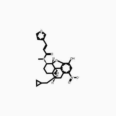 CN(C(=O)/C=C/c1ccoc1)[C@@H]1CC[C@H]2[C@H]3Cc4c([N+](=O)[O-])cc(O)c5c4[C@@]2(CCN3CC2CC2)[C@H]1O5